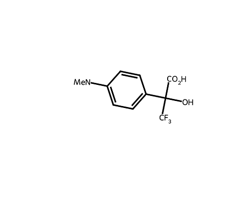 CNc1ccc(C(O)(C(=O)O)C(F)(F)F)cc1